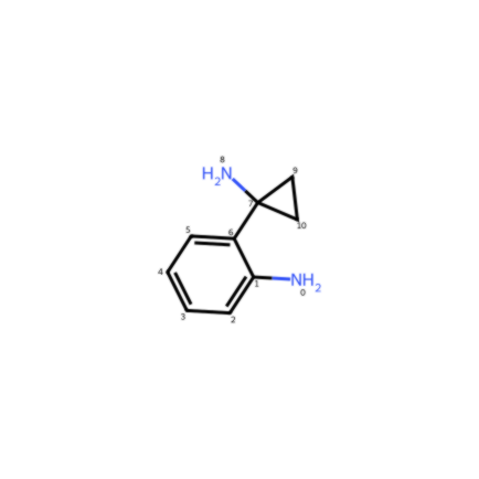 Nc1ccccc1C1(N)CC1